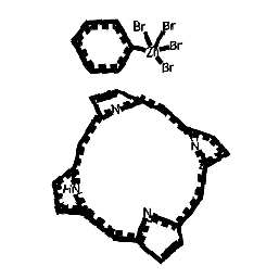 C1=Cc2cc3ccc(cc4nc(cc5ccc(cc1n2)[nH]5)C=C4)[nH]3.[Br][Zn]([Br])([Br])([Br])[c]1ccccc1